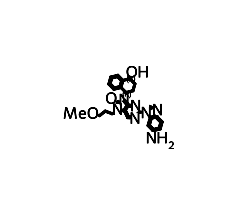 COCCCn1c(=O)n([C@@H]2CC[C@@H](O)c3ccccc32)c2nc(-n3cnc4ccc(N)cc43)ncc21